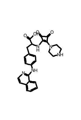 O=C(O)C(Cc1ccc(Nc2nccc3ccccc23)cc1)Nc1c(N2CCNCC2)c(=O)c1=O